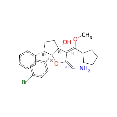 CO/C(=C1/C(=C\N)O[C@@]2(c3ccc(Br)cc3)[C@H](c3ccccc3)CC[C@@]12O)C1CCCC1